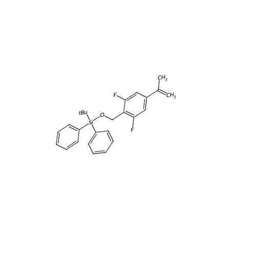 C=C(C)c1cc(F)c(CO[Si](c2ccccc2)(c2ccccc2)C(C)(C)C)c(F)c1